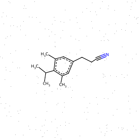 Cc1cc(CCC#N)cc(C)c1C(C)C